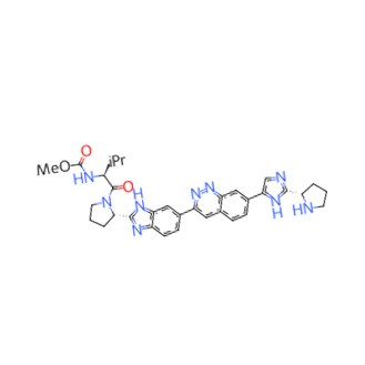 COC(=O)N[C@H](C(=O)N1CCC[C@H]1c1nc2ccc(-c3cc4ccc(-c5cnc([C@@H]6CCCN6)[nH]5)cc4nn3)cc2[nH]1)C(C)C